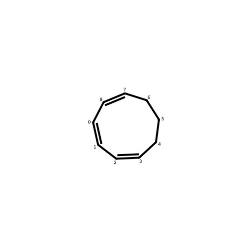 C1=C\C=C/CCC\C=C/1